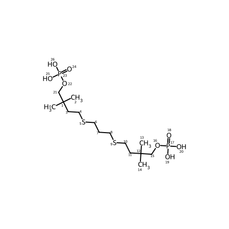 CC(C)(CCSCCCSCCC(C)(C)COP(=O)(O)O)COP(=O)(O)O